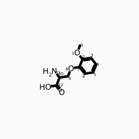 COc1ccccc1OCC(N)C(=O)O